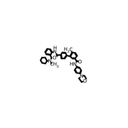 Cc1ccc(C(=O)Nc2ccc(N3CCOCC3)cc2)cc1-c1ccc(C(=O)Nc2ccccc2CN(C)C2CCCCC2)cc1